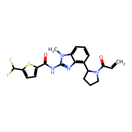 C=CC(=O)N1CCCC1c1cccc2c1nc(NC(=O)c1ccc(C(F)F)s1)n2C